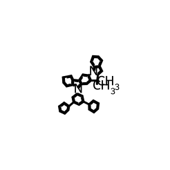 CC1(C)c2cc3c(cc2-n2c1cc1ccccc12)c1ccccc1n3-c1cc(-c2ccccc2)cc(-c2ccccc2)c1